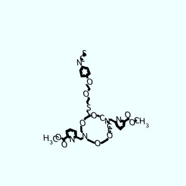 COC(=O)c1cccc(CN2CCOCCOCCN(Cc3cccc(C(=O)OC)n3)CCO[C@H](CSCCOCCOc3ccc(N=C=S)cc3)COCC2)n1